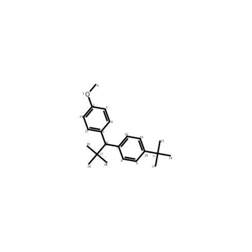 COc1ccc(C(c2ccc(C(C)(C)C)cc2)C(C)(C)C)cc1